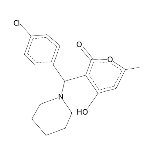 Cc1cc(O)c(C(c2ccc(Cl)cc2)N2CCCCC2)c(=O)o1